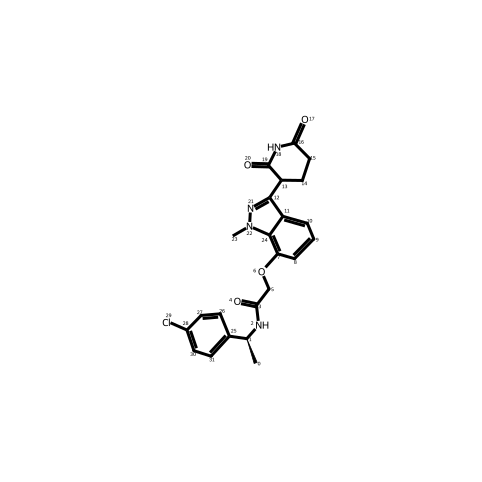 C[C@H](NC(=O)COc1cccc2c(C3CCC(=O)NC3=O)nn(C)c12)c1ccc(Cl)cc1